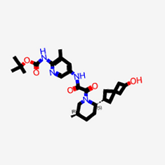 Cc1cc(NC(=O)C(=O)N2C[C@H](C)CC[C@H]2C2CC3(CC(O)C3)C2)cnc1NC(=O)OC(C)(C)C